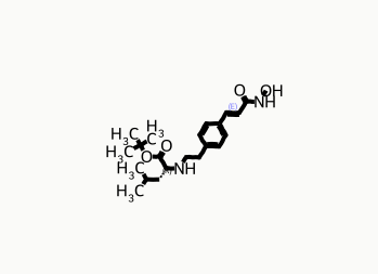 CC(C)C[C@@H](NCCc1ccc(/C=C/C(=O)NO)cc1)C(=O)OC(C)(C)C